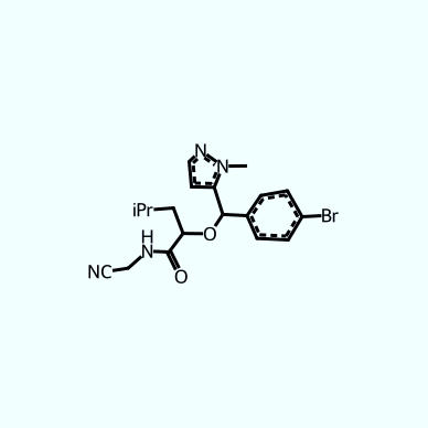 CC(C)CC(OC(c1ccc(Br)cc1)c1ccnn1C)C(=O)NCC#N